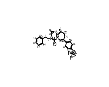 CC1=NN(C(=O)N(CCc2ccccc2)C2CC2)C=C(c2ccc(OC(F)(F)F)cc2)CC1